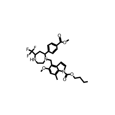 CCCCOC(=O)n1ccc2c(CN3CCNC(C(F)(F)F)CC3c3ccc(C(=O)OC)cc3)c(OC)cc(C)c21